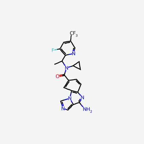 CC(c1ncc(C(F)(F)F)cc1F)N(C(=O)c1ccc2nc(N)c3cncn3c2c1)C1CC1